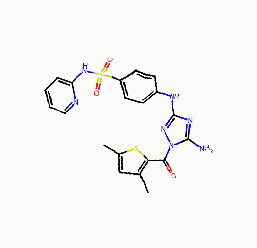 Cc1cc(C)c(C(=O)n2nc(Nc3ccc(S(=O)(=O)Nc4ccccn4)cc3)nc2N)s1